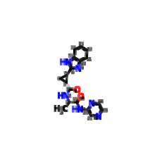 CC(NC(=O)[C@@H]1C[C@H]1c1nc2ccccc2[nH]1)C(=O)Nc1cnccn1